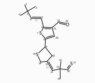 CC(C)(C)/C=C/c1sc(C2C/C(=C\C(C)(C)C=S)CS2)cc1C=O